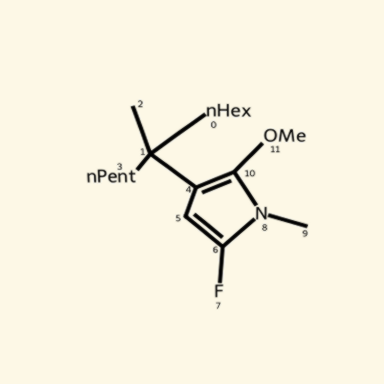 CCCCCCC(C)(CCCCC)c1cc(F)n(C)c1OC